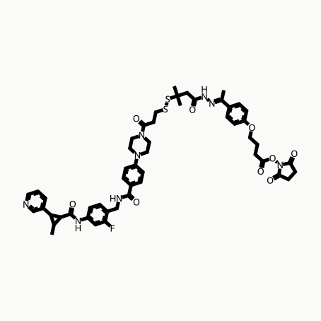 C/C(=N\NC(=O)CC(C)(C)SSCCC(=O)N1CCN(c2ccc(C(=O)NCc3ccc(NC(=O)C4C(C)C4c4cccnc4)cc3F)cc2)CC1)c1ccc(OCCCC(=O)ON2C(=O)CCC2=O)cc1